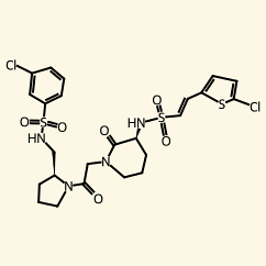 O=C1[C@@H](NS(=O)(=O)/C=C/c2ccc(Cl)s2)CCCN1CC(=O)N1CCC[C@H]1CNS(=O)(=O)c1cccc(Cl)c1